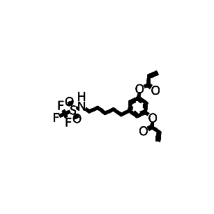 C=CC(=O)Oc1cc(CCCCCNS(=O)(=O)C(F)(F)F)cc(OC(=O)C=C)c1